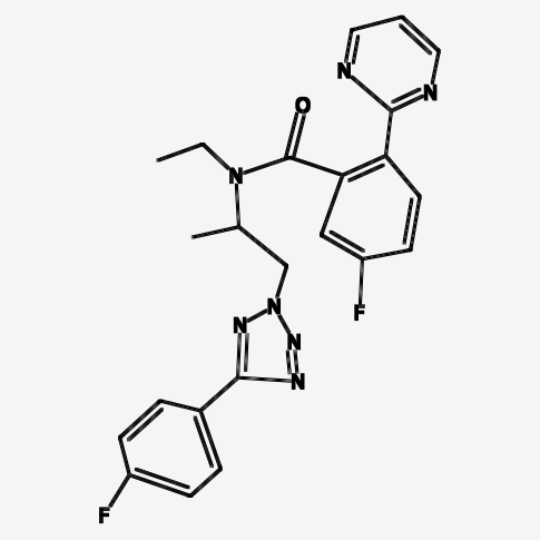 CCN(C(=O)c1cc(F)ccc1-c1ncccn1)C(C)Cn1nnc(-c2ccc(F)cc2)n1